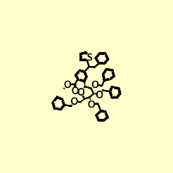 COC(=O)c1ccc(C(Cc2ccccc2)c2cccs2)cc1[C@@H]1O[C@H](COCc2ccccc2)[C@@H](OCc2ccccc2)[C@H](OCc2ccccc2)[C@H]1OCc1ccccc1